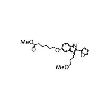 COCCCn1c(-c2ccco2)nc2ccc(OCCCCCC(=O)OC)cc21